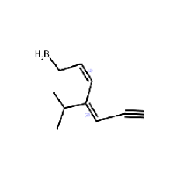 BC/C=C\C(=C/C#C)C(C)C